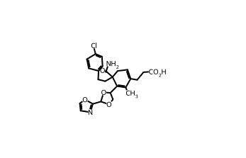 CC1=C(C2COC(c3ncco3)O2)C(CCc2ccc(Cl)cc2)(C(N)=O)CC=C1CCC(=O)O